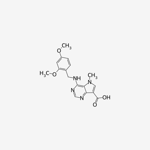 COc1ccc(CNc2ncnc3c(C(=O)O)cn(C)c23)c(OC)c1